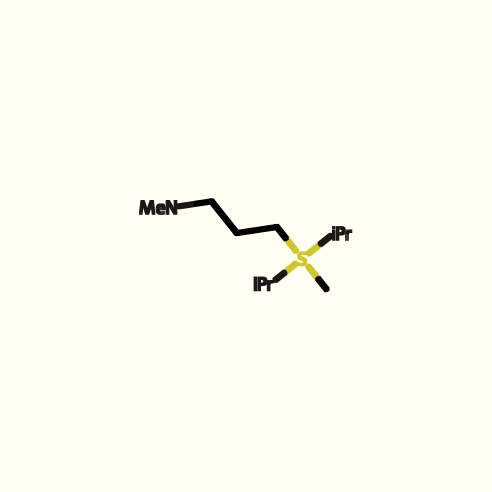 CNCCCS(C)(C(C)C)C(C)C